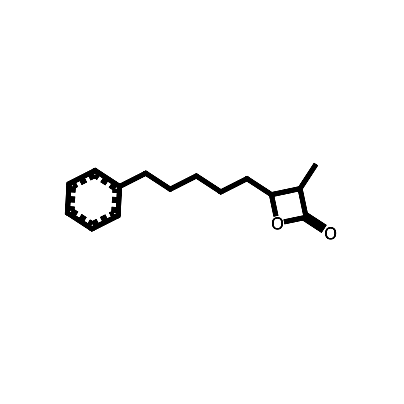 CC1C(=O)OC1CCCCCc1ccccc1